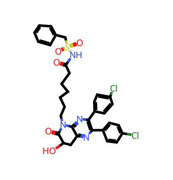 O=C(CCCCCCN1C(=O)C(O)Cc2nc(-c3ccc(Cl)cc3)c(-c3ccc(Cl)cc3)nc21)NS(=O)(=O)Cc1ccccc1